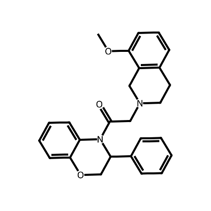 COc1cccc2c1CN(CC(=O)N1c3ccccc3OCC1c1ccccc1)CC2